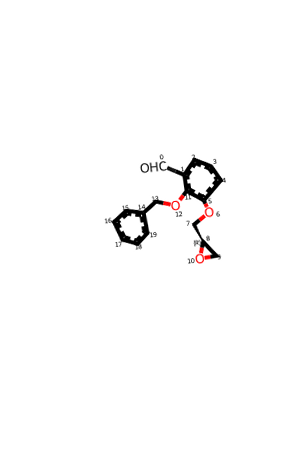 O=Cc1cccc(OC[C@H]2CO2)c1OCc1ccccc1